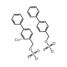 O=S([O-])(=S)OCc1ccc(-c2ccccc2)cc1.O=S([O-])(=S)OCc1ccc(-c2ccccc2)cc1.[Co+2]